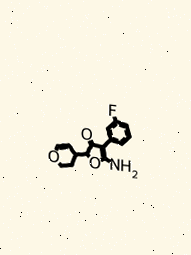 NC1=C(c2cccc(F)c2)C(=O)C(C2C=COCC2)O1